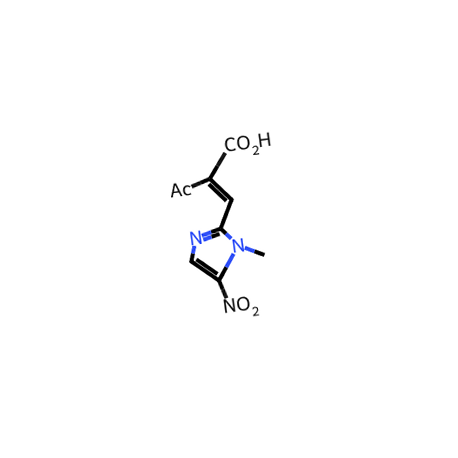 CC(=O)/C(=C\c1ncc([N+](=O)[O-])n1C)C(=O)O